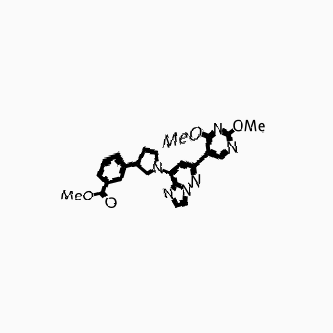 COC(=O)c1cccc(C2CCN(c3cc(-c4cnc(OC)nc4OC)nn4ccnc34)C2)c1